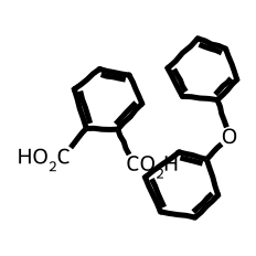 O=C(O)c1ccccc1C(=O)O.c1ccc(Oc2ccccc2)cc1